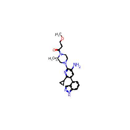 COCCC(=O)N1CCN(c2nc(C3CC3)c(-c3cccc4[nH]ncc34)cc2N)C[C@H]1C